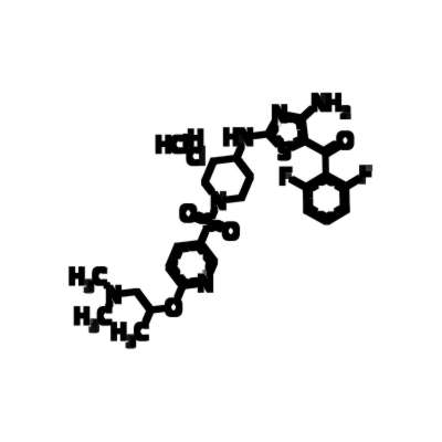 CC(CN(C)C)Oc1ccc(S(=O)(=O)N2CCC(Nc3nc(N)c(C(=O)c4c(F)cccc4F)s3)CC2)cn1.Cl.Cl